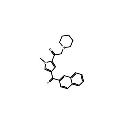 Cn1cc(C(=O)c2ccc3ccccc3c2)cc1C(=O)CN1CCCCC1